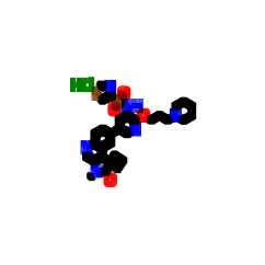 CN1C(=O)C2(CCC2)c2c1cnc1ccc(-c3cnc(OCCCN4CCCCC4)c(NS(=O)(=O)c4cscn4)c3)cc21.Cl